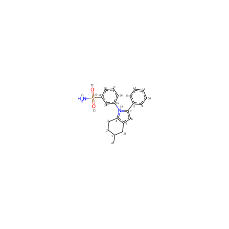 CC1CCc2c(cc(-c3ccccc3)n2-c2cccc(S(N)(=O)=O)c2)C1